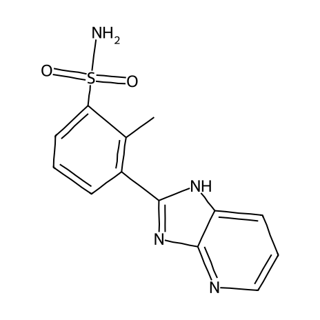 Cc1c(-c2nc3ncccc3[nH]2)cccc1S(N)(=O)=O